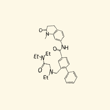 CCN(CC(=O)N(CC)CC)Cc1cc(C(=O)Nc2ccc3c(c2)N(C)C(=O)CC3)ccc1-c1ccccc1